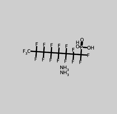 N.N.O=P(O)(O)C(F)(F)C(F)(F)C(F)(F)C(F)(F)C(F)(F)C(F)(F)C(F)(F)C(F)(F)F